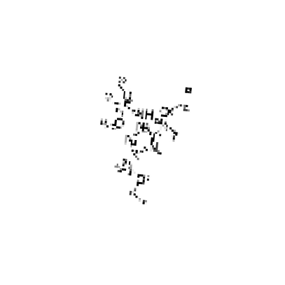 CCO[C@@H](C)c1nc([C@H](C)OCC)n(NC(C)(OC)OC)n1